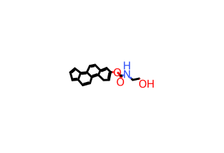 O=C(NCCO)OC1=CCc2c(ccc3c4c(ccc23)=CC=C4)=C1